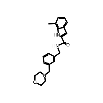 Cc1cccc2cc(C(=O)NCc3cccc(CN4CCOCC4)c3)[nH]c12